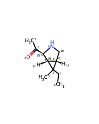 CCC1(C)[C@@H]2[C@@H](C(C)=O)NC[C@@H]21